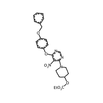 CCOC(=O)OC1CCN(c2ncnc(Oc3ccc(OCc4ccccc4)cc3)c2[N+](=O)[O-])CC1